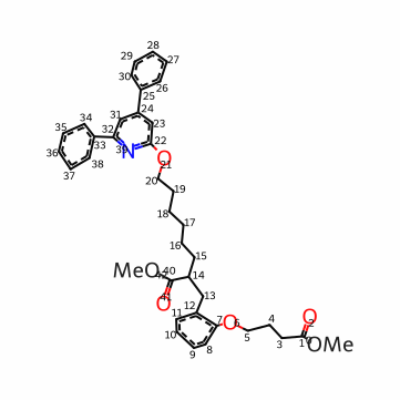 COC(=O)CCCOc1ccccc1CC(CCCCCCOc1cc(-c2ccccc2)cc(-c2ccccc2)n1)C(=O)OC